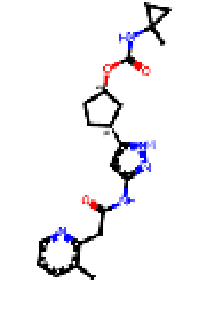 Cc1cccnc1CC(=O)Nc1cc([C@H]2CC[C@@H](OC(=O)NC3(C)CC3)C2)[nH]n1